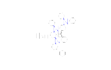 CC(C)(C)c1cc2c3c(c1)N(c1cccc4c1C(C)(C)c1ccccc1-4)c1ccccc1B3c1ccc(N(c3ccccc3)c3ccccc3)cc1N2c1ccccc1